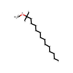 CCCCCCCCCCCCCC(C)(C)O[SiH3]